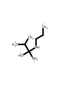 CCCNC(N)(O)C(C)C